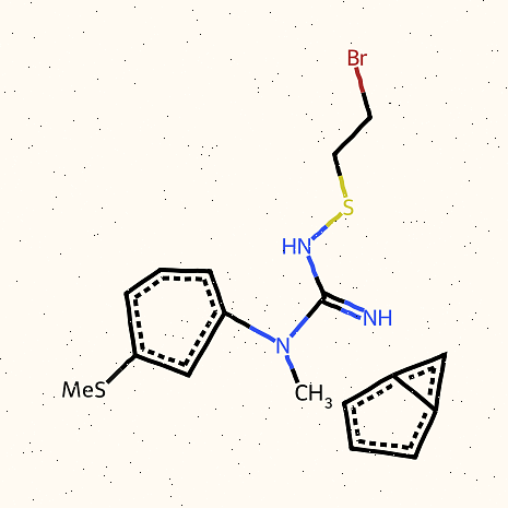 CSc1cccc(N(C)C(=N)NSCCBr)c1.c1cc2cc-2c1